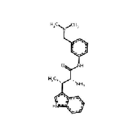 C[C@@H](c1c[nH]c2ccccc12)[C@@H](N)C(=O)Nc1cccc(CN(C)C)c1